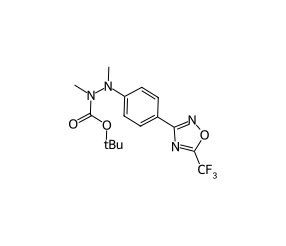 CN(C(=O)OC(C)(C)C)N(C)c1ccc(-c2noc(C(F)(F)F)n2)cc1